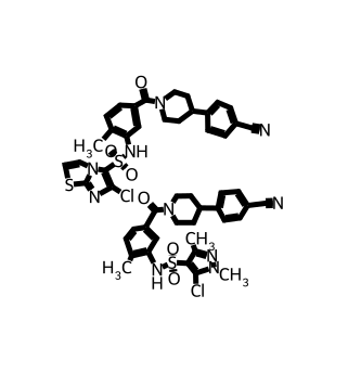 Cc1ccc(C(=O)N2CCC(c3ccc(C#N)cc3)CC2)cc1NS(=O)(=O)c1c(C)nn(C)c1Cl.Cc1ccc(C(=O)N2CCC(c3ccc(C#N)cc3)CC2)cc1NS(=O)(=O)c1c(Cl)nc2sccn12